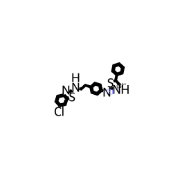 C[C@@H]1N/C(=N/c2ccc(CCNc3nc4ccc(Cl)cc4s3)cc2)SC1c1ccccc1